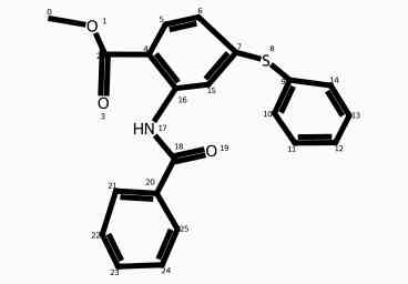 COC(=O)c1ccc(Sc2ccccc2)cc1NC(=O)c1ccccc1